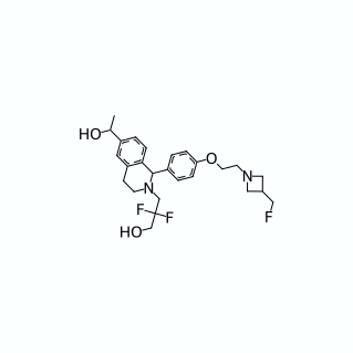 CC(O)c1ccc2c(c1)CCN(CC(F)(F)CO)C2c1ccc(OCCN2CC(CF)C2)cc1